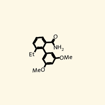 CCc1cccc(C(N)=O)c1-c1cc(OC)cc(OC)c1